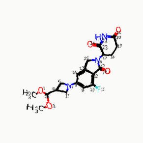 COC(OC)C1CN(c2cc(F)c3c(c2)CN(C2CCC(=O)NC2=O)C3=O)C1